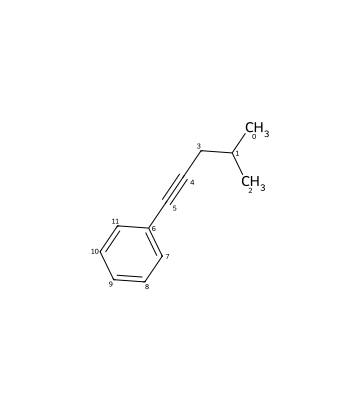 CC(C)CC#Cc1ccccc1